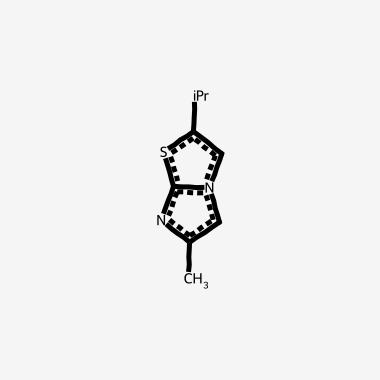 Cc1cn2cc(C(C)C)sc2n1